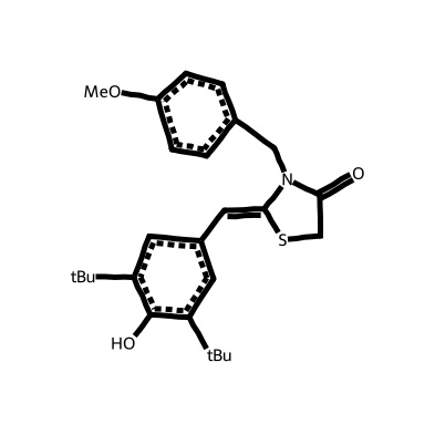 COc1ccc(CN2C(=O)CSC2=Cc2cc(C(C)(C)C)c(O)c(C(C)(C)C)c2)cc1